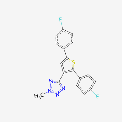 Cn1nnc(-c2cc(-c3ccc(F)cc3)sc2-c2ccc(F)cc2)n1